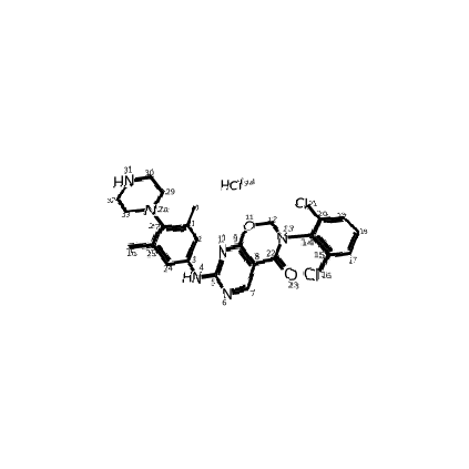 Cc1cc(Nc2ncc3c(n2)OCN(c2c(Cl)cccc2Cl)C3=O)cc(C)c1N1CCNCC1.Cl